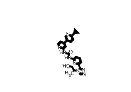 C[C@H](CO)n1cnnc1-c1cccc(NC(=O)Nc2cc(-c3ccc(C4CC4)nc3)ccn2)n1